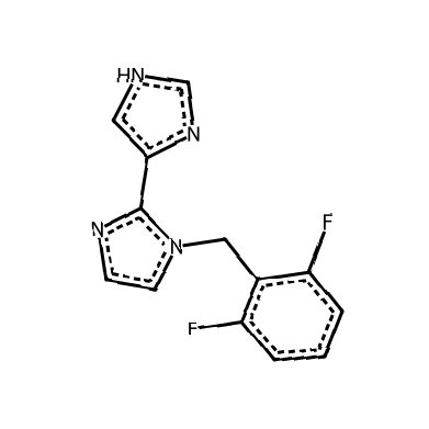 Fc1cccc(F)c1Cn1ccnc1-c1c[nH]cn1